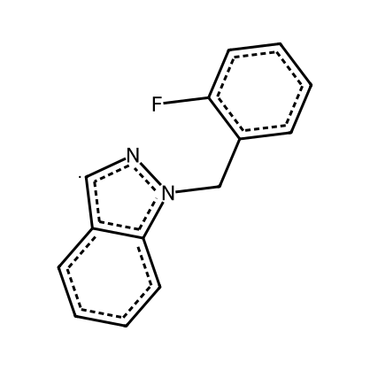 Fc1ccccc1Cn1n[c]c2ccccc21